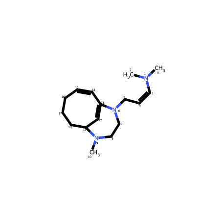 CN(C)/C=C\CN1CCN(C)C2C=C1/C=C\CCC2